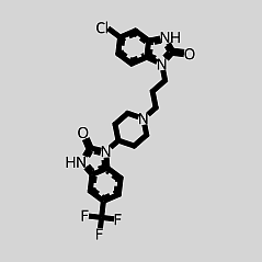 O=c1[nH]c2cc(Cl)ccc2n1CCCN1CCC(n2c(=O)[nH]c3cc(C(F)(F)F)ccc32)CC1